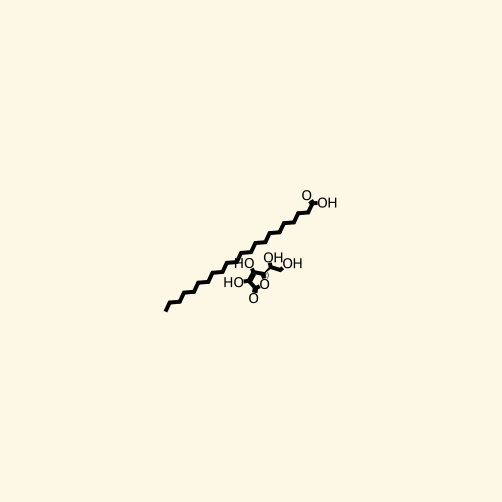 CCCCCCCCCCCCCCCCCCCCCC(=O)O.O=C1O[C@H](C(O)CO)C(O)=C1O